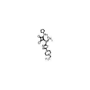 CCN1CCN(c2nnc(N(CC)c3c(NC4CCCC4)c(=O)c3=O)s2)CC1